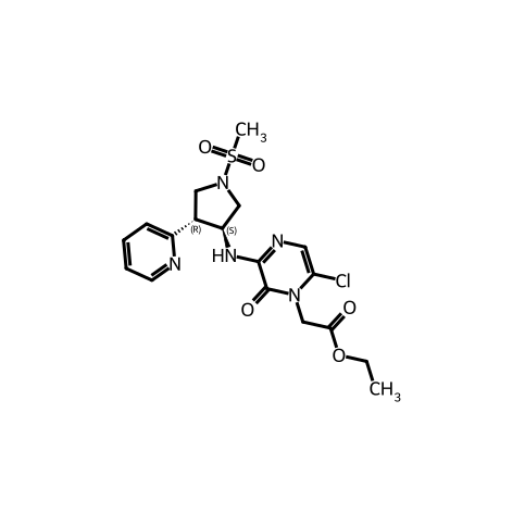 CCOC(=O)Cn1c(Cl)cnc(N[C@@H]2CN(S(C)(=O)=O)C[C@H]2c2ccccn2)c1=O